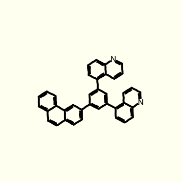 c1ccc2c(c1)ccc1ccc(-c3cc(-c4cccc5ncccc45)cc(-c4cccc5ncccc45)c3)cc12